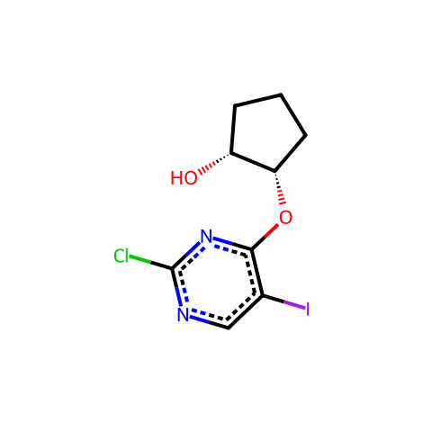 O[C@@H]1CCC[C@@H]1Oc1nc(Cl)ncc1I